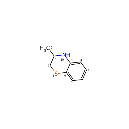 CC1CSc2ccccc2N1